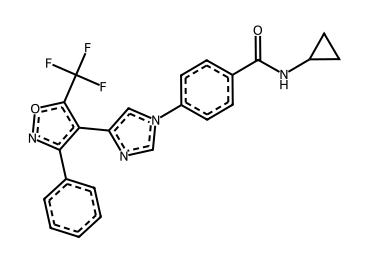 O=C(NC1CC1)c1ccc(-n2cnc(-c3c(-c4ccccc4)noc3C(F)(F)F)c2)cc1